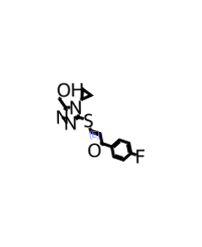 O=C(/C=C/Sc1nnc(CO)n1C1CC1)c1ccc(F)cc1